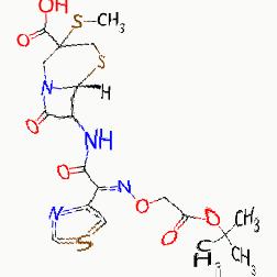 CSC1(C(=O)O)CS[C@@H]2C(NC(=O)C(=NOCC(=O)OC(C)(C)C)c3cscn3)C(=O)N2C1